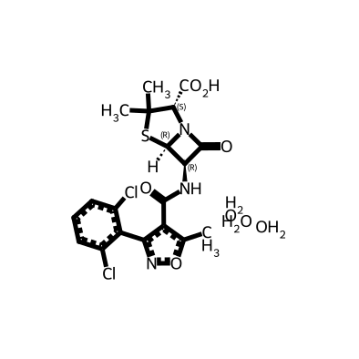 Cc1onc(-c2c(Cl)cccc2Cl)c1C(=O)N[C@@H]1C(=O)N2[C@@H]1SC(C)(C)[C@@H]2C(=O)O.O.O.O